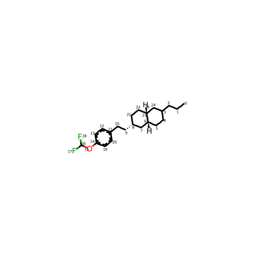 CCCC1CC[C@@H]2C[C@H](CCc3ccc(OC(F)F)cc3)CC[C@@H]2C1